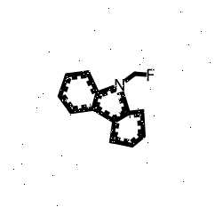 FCn1c2ccccc2c2ccccc21